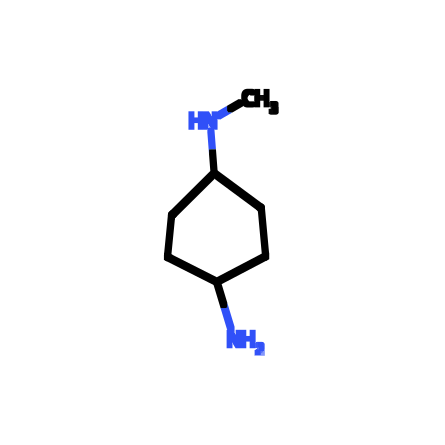 CNC1CCC(N)CC1